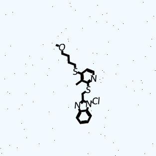 COCCCCSc1ccnc(SCc2nc3ccccc3n2Cl)c1C